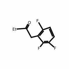 CCC(=O)Cc1c(F)ccc(F)c1F